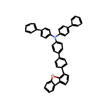 c1ccc(-c2ccc(N(c3ccc(-c4ccccc4)cc3)c3ccc(-c4ccc(-c5cccc6c5oc5ccccc56)cc4)cc3)cc2)cc1